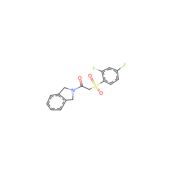 O=C(CS(=O)(=O)c1ccc(F)cc1F)N1Cc2ccccc2C1